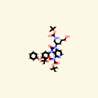 CC(C)(C)OC(=O)NCC(CCCO)n1c(=O)n(-c2ccc(Oc3ccccc3)cc2)c2c(N(C(=O)OC(C)(C)C)C(=O)OC(C)(C)C)nccc21